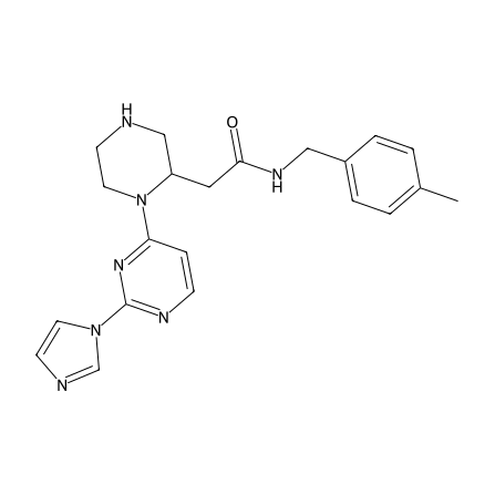 Cc1ccc(CNC(=O)CC2CNCCN2c2ccnc(-n3ccnc3)n2)cc1